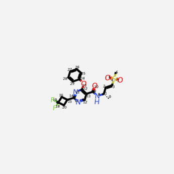 C[C@@H](/C=C/S(C)(=O)=O)NC(=O)c1cnc(C2CC(F)(F)C2)nc1Oc1ccccc1